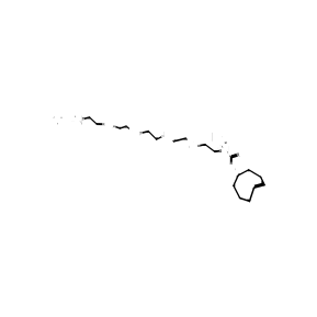 CNCCOCCOCCOCCOCCN(C)C(=O)OC1CC/C=C/CCC1